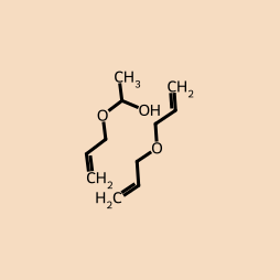 C=CCOC(C)O.C=CCOCC=C